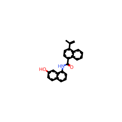 C=C(C)c1ccc(C(=O)Nc2cccc3ccc(O)cc23)c2ccccc12